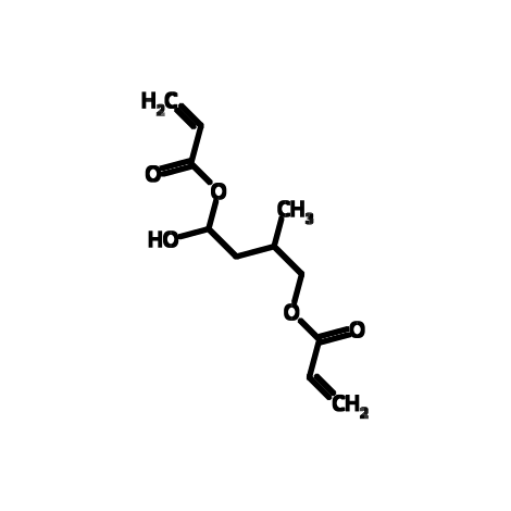 C=CC(=O)OCC(C)CC(O)OC(=O)C=C